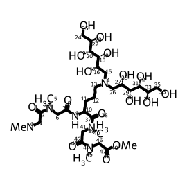 CNCC(=O)N(C)CC(=O)NC(CCCN(C[C@H](O)[C@@H](O)[C@H](O)[C@H](O)CO)C[C@H](O)[C@@H](O)[C@H](O)[C@H](O)CO)C(=O)N(C)CC(=O)N(C)CC(=O)OC